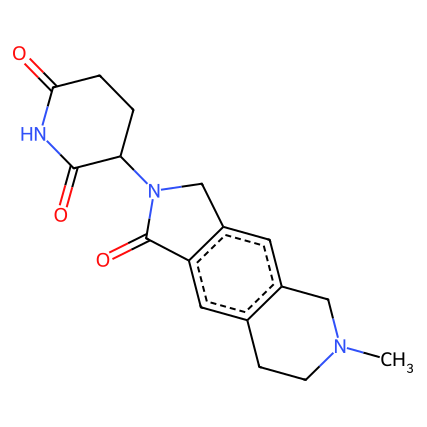 CN1CCc2cc3c(cc2C1)CN(C1CCC(=O)NC1=O)C3=O